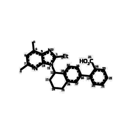 CCc1nc2c(C)cc(C)nc2n1C1CCCc2cc(-c3ccccc3C(=O)O)ccc21